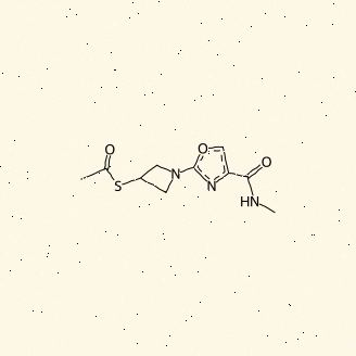 CNC(=O)c1coc(N2CC(SC(C)=O)C2)n1